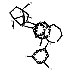 Cc1cc(N2C[C@H]3CC[C@@H](C2)[C@@H]3Nc2nc3n(n2)CCCO[C@H]3c2cc(F)cc(Cl)c2)cnn1